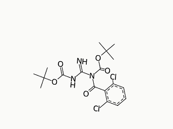 CC(C)(C)OC(=O)NC(=N)N(C(=O)OC(C)(C)C)C(=O)c1c(Cl)cccc1Cl